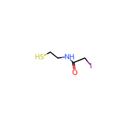 O=C(CI)NCCS